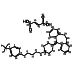 CC(C)(C)c1ccc(CCCCCN2CCC(=C3c4ccccc4CCc4ccccc43)CC2)cc1.O=C(O)/C=C/C(=O)O